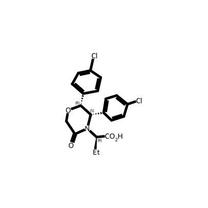 CC[C@H](C(=O)O)N1C(=O)CO[C@H](c2ccc(Cl)cc2)[C@@H]1c1ccc(Cl)cc1